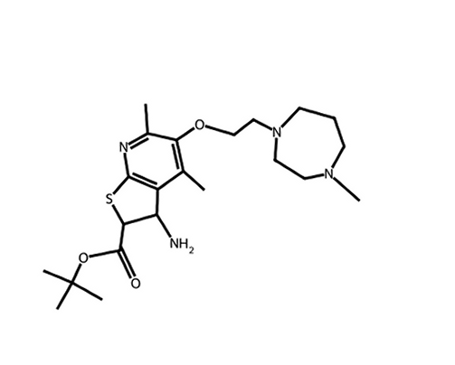 Cc1nc2c(c(C)c1OCCN1CCCN(C)CC1)C(N)C(C(=O)OC(C)(C)C)S2